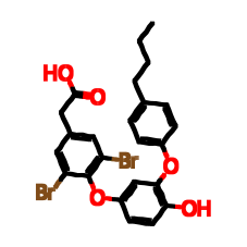 CCCCc1ccc(Oc2cc(Oc3c(Br)cc(CC(=O)O)cc3Br)ccc2O)cc1